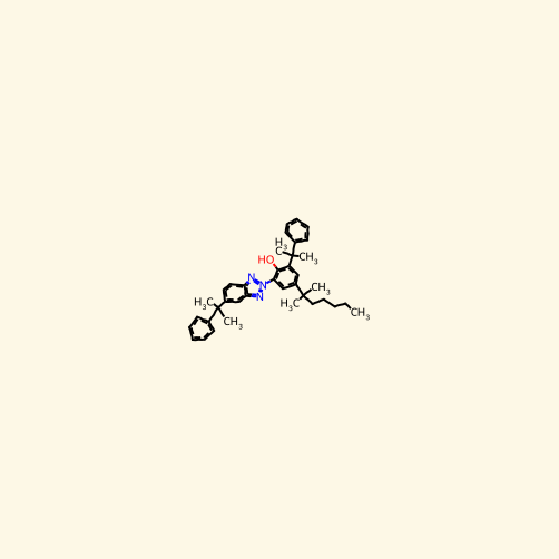 CCCCCC(C)(C)c1cc(-n2nc3ccc(C(C)(C)c4ccccc4)cc3n2)c(O)c(C(C)(C)c2ccccc2)c1